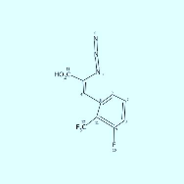 [N-]=[N+]=N/C(=C\c1cccc(F)c1C(F)(F)F)C(=O)O